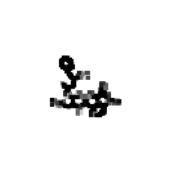 COC[C@H](NC(=O)c1nccc(OC)c1C(=O)C(=O)C(C)C)C(=O)OC(C)CC(C=O)Cc1ccccc1